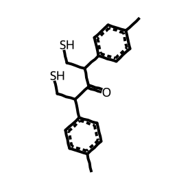 Cc1ccc(C(CS)C(=O)C(CS)c2ccc(C)cc2)cc1